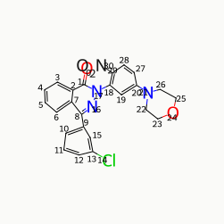 O=c1c2ccccc2c(-c2cccc(Cl)c2)nn1-c1cc(N2CCOCC2)ccc1[N+](=O)[O-]